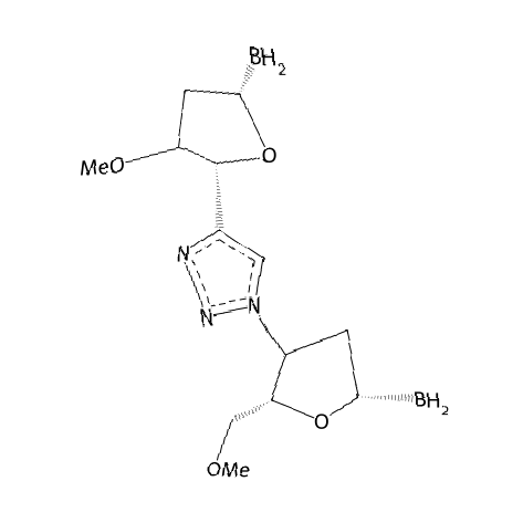 B[C@H]1CC(OC)[C@@H](c2cn(C3C[C@H](B)O[C@@H]3COC)nn2)O1